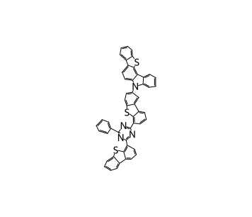 c1ccc(-c2nc(-c3cccc4c3sc3ccccc34)nc(-c3cccc4c3sc3ccc(-n5c6ccccc6c6c7sc8ccccc8c7ccc65)cc34)n2)cc1